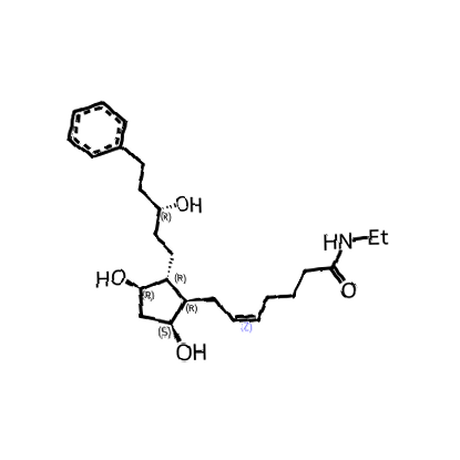 CCNC(=O)CCC/C=C\C[C@@H]1[C@@H](CC[C@@H](O)CCc2ccccc2)[C@H](O)C[C@@H]1O